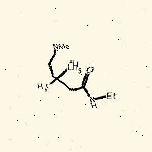 CCNC(=O)CC(C)(C)CNC